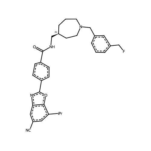 CC(C)c1cc(C#N)cc2nc(-c3ccc(C(=O)NC[C@H]4CCCN(Cc5cccc(CF)c5)CC4)cc3)oc12